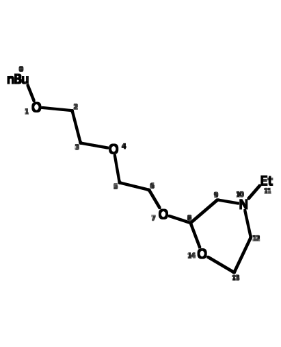 CCCCOCCOCCOC1CN(CC)CCO1